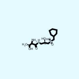 C[C@H](O)C(N)C(=O)NC[C@@H](O)CP(=O)(O)CC1CCCCC1